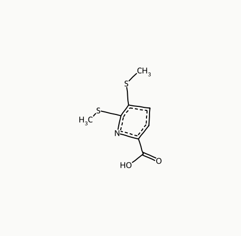 CSc1ccc(C(=O)O)nc1SC